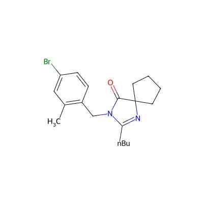 CCCCC1=NC2(CCCC2)C(=O)N1Cc1ccc(Br)cc1C